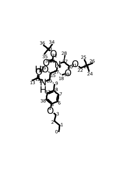 CCCCOc1ccc(C[C@H](NC(C)=O)[C@H](O)[C@H]2CO[C@@H](OCC(C)(C)C)[C@H](C)N2C(=O)OC(C)(C)C)cc1